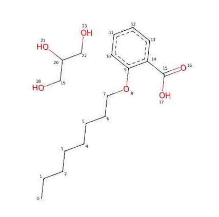 CCCCCCCCOc1ccccc1C(=O)O.OCC(O)CO